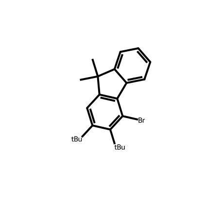 CC(C)(C)c1cc2c(c(Br)c1C(C)(C)C)-c1ccccc1C2(C)C